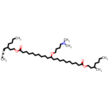 C=C=C=CC(CCCC)CCOC(=O)CCCCCCCCCC(CCCCCCCCCC(=O)OCCC(C)CCCC)OCCCCN(C)C